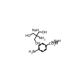 NC(CO)(CO)CO.O=C(O)c1cc[c]([BiH2])cc1.[NaH].[NaH].[NaH]